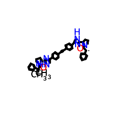 C[C](C(=O)N1CCC[C@H]1c1nc(-c2ccc(C#Cc3ccc(-c4c[nH]c(C5CCCN5C(=O)[CH]c5ccccc5)n4)cc3)cc2)c[nH]1)c1ccccc1C